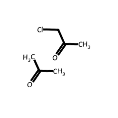 CC(=O)CCl.CC(C)=O